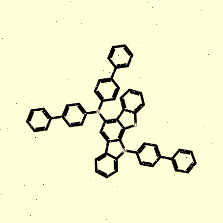 c1ccc(-c2ccc(N(c3ccc(-c4ccccc4)cc3)c3cc4c5ccccc5n(-c5ccc(-c6ccccc6)cc5)c4c4oc5ccccc5c34)cc2)cc1